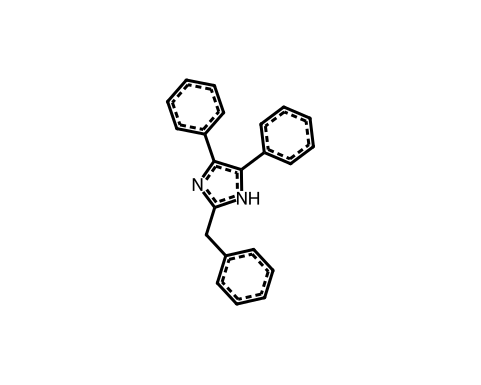 c1ccc(Cc2nc(-c3ccccc3)c(-c3ccccc3)[nH]2)cc1